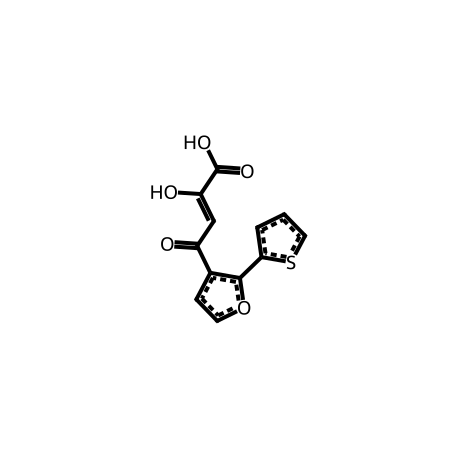 O=C(O)C(O)=CC(=O)c1ccoc1-c1cccs1